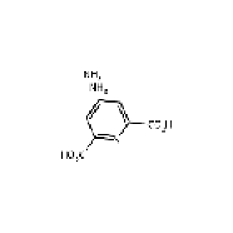 N.N.O=C(O)c1cccc(C(=O)O)n1